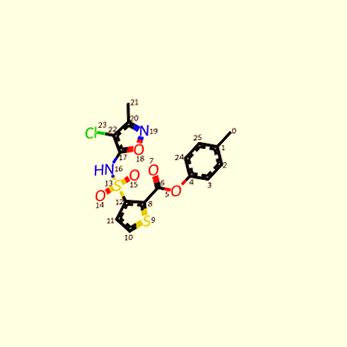 Cc1ccc(OC(=O)c2sccc2S(=O)(=O)Nc2onc(C)c2Cl)cc1